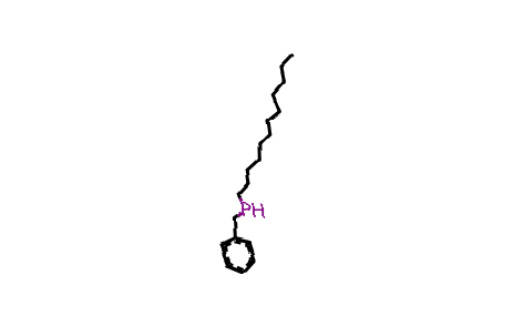 CCCCCCCCCCCCPCc1ccccc1